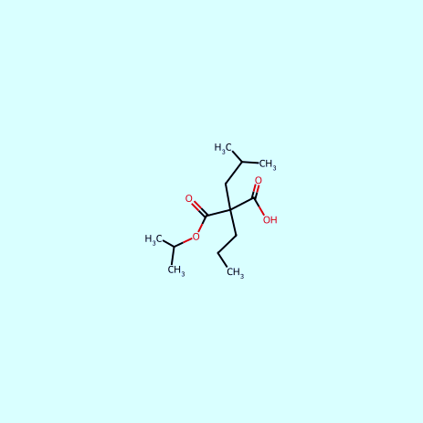 CCCC(CC(C)C)(C(=O)O)C(=O)OC(C)C